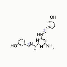 Nc1nc(N/N=C/c2cccc(O)c2)nc(N/N=C/c2cccc(O)c2)n1